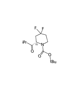 CC(C)C(=O)[C@@H]1CC(F)(F)CCN1C(=O)OC(C)(C)C